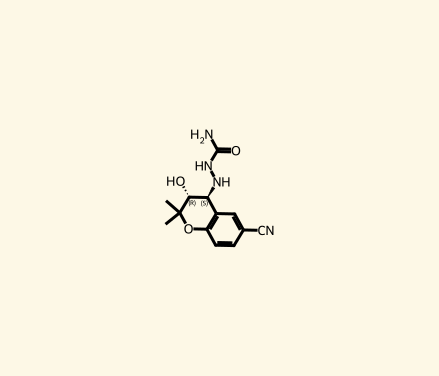 CC1(C)Oc2ccc(C#N)cc2[C@H](NNC(N)=O)[C@H]1O